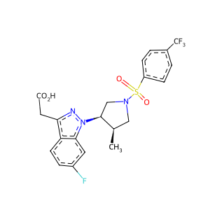 C[C@@H]1CN(S(=O)(=O)c2ccc(C(F)(F)F)cc2)C[C@@H]1n1nc(CC(=O)O)c2ccc(F)cc21